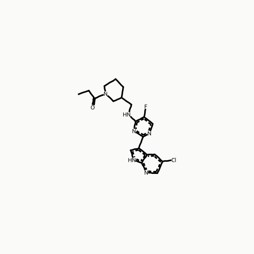 CCC(=O)N1CCCC(CNc2nc(-c3c[nH]c4ncc(Cl)cc34)ncc2F)C1